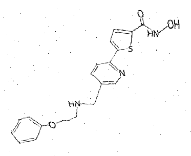 O=C(NO)c1ccc(-c2ccc(CNCCOc3ccccc3)cn2)s1